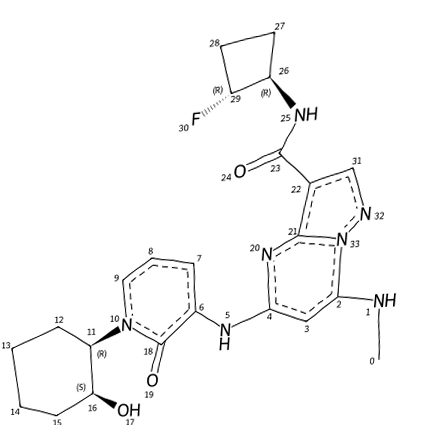 CNc1cc(Nc2cccn([C@@H]3CCCC[C@@H]3O)c2=O)nc2c(C(=O)N[C@@H]3CC[C@H]3F)cnn12